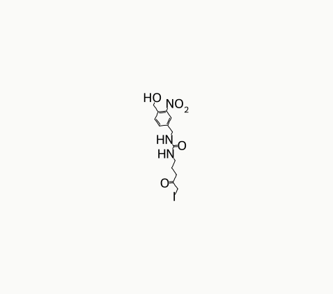 O=C(CI)CCCNC(=O)NCc1ccc(CO)c([N+](=O)[O-])c1